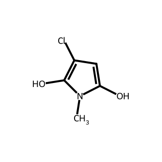 Cn1c(O)cc(Cl)c1O